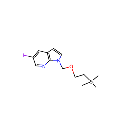 C[Si](C)(C)CCOCn1ccc2cc(I)cnc21